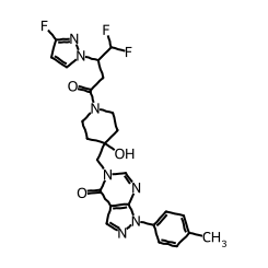 Cc1ccc(-n2ncc3c(=O)n(CC4(O)CCN(C(=O)CC(C(F)F)n5ccc(F)n5)CC4)cnc32)cc1